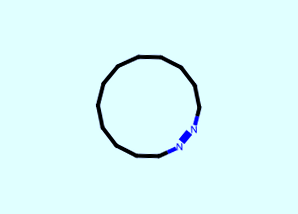 C1CCCCCCN=NCCCCC1